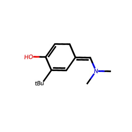 CN(C)C=C1C=C(C(C)(C)C)C(O)=CC1